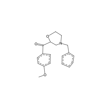 COc1ccc(C(=O)C2CN(Cc3ccccc3)CCO2)cc1